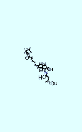 CCCC[C@@H](C)C[C@H](O)/C=C/[C@@H]1[C@H]2CC(CCCCC(=O)N3CCCC3)=C[C@H]2C[C@H]1O